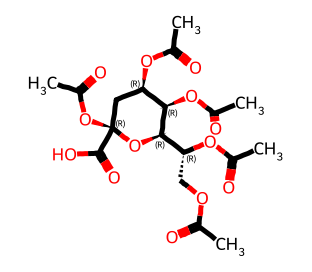 CC(=O)OC[C@@H](OC(C)=O)[C@H]1O[C@](OC(C)=O)(C(=O)O)C[C@@H](OC(C)=O)[C@H]1OC(C)=O